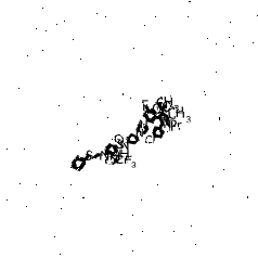 Cc1c(S(C)(=O)=O)c(-c2cc(F)cc(N3CCN(c4ccc(N[S+]([O-])c5ccc(NCCSc6ccccc6)c([S+]([O-])C(F)(F)F)c5)cc4)CC3)c2)c(-c2ccc(Cl)cc2)n1C(C)C